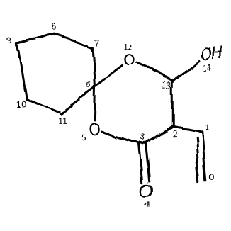 C=CC1C(=O)OC2(CCCCC2)OC1O